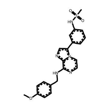 COc1ccc(CNc2nccn3c(-c4cccc(NS(C)(=O)=O)c4)cnc23)cc1